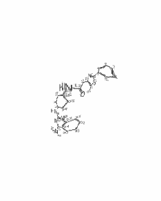 Cc1sc(-c2ccccc2)nc1CC(=O)NC1CCC(Nc2nc3c(c(N(C)C)n2)CCCC3)CC1